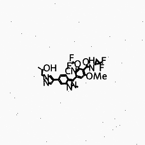 COc1cc(-c2c3c(C#N)cc(-c4cnn(C[C@@H](C)O)c4)cc3nn2C)cc(OC(F)F)c1C(=O)N[C@@H]1CC1(F)F